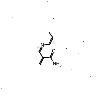 C=C(/C=N\C=C/C)C(N)=O